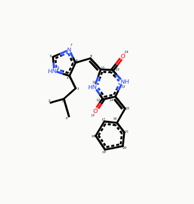 CC(C)Cc1[nH]cnc1C=c1[nH]c(=O)c(=Cc2ccccc2)[nH]c1=O